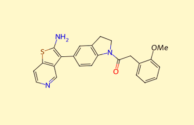 COc1ccccc1CC(=O)N1CCc2cc(-c3c(N)sc4ccncc34)ccc21